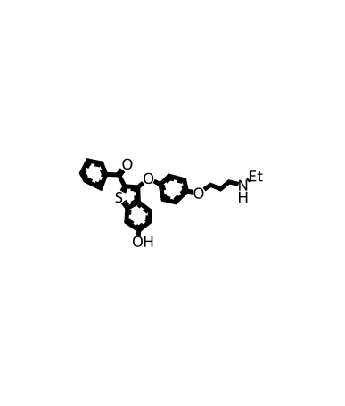 CCNCCCOc1ccc(Oc2c(C(=O)c3ccccc3)sc3cc(O)ccc23)cc1